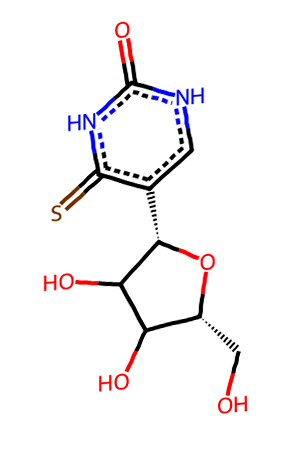 O=c1[nH]cc([C@@H]2O[C@H](CO)C(O)C2O)c(=S)[nH]1